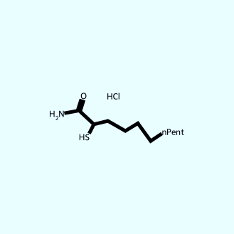 CCCCCCCCCC(S)C(N)=O.Cl